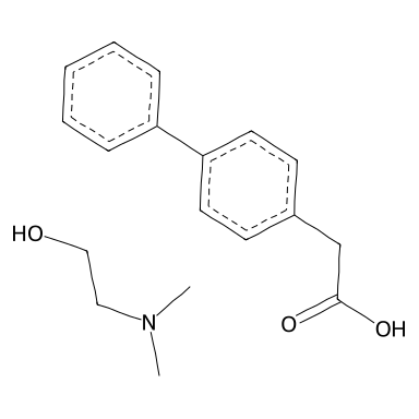 CN(C)CCO.O=C(O)Cc1ccc(-c2ccccc2)cc1